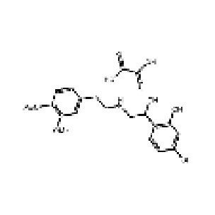 COc1ccc(CCNCC(O)c2ccc(O)cc2O)cc1OC.O=C(O)C(=O)O